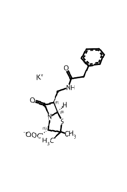 CC1(C)S[C@@H]2[C@H](CNC(=O)Cc3ccccc3)C(=O)N2[C@H]1C(=O)[O-].[K+]